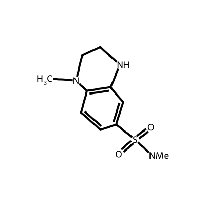 CNS(=O)(=O)c1ccc2c(c1)NCCN2C